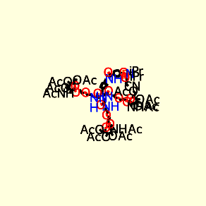 CC(=O)NC1C(OCCOCCNC(=O)CN(CC(=O)NCCOCCOC2OC(COC(C)=O)C(OC(C)=O)C(OC(C)=O)C2NC(C)=O)C(Cc2ccc(CNC(=O)[C@H]3CC[C@H](OP(OCCC#N)N(C(C)C)C(C)C)CC3)cc2)C(=O)NCCOCCOC2OC(COC(C)=O)C(OC(C)=O)C(OC(C)=O)C2NC(C)=O)OC(COC(C)=O)C(OC(C)=O)C1OC(C)=O